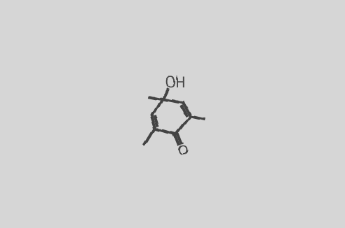 CC1=CC(C)(O)C=C(C)C1=O